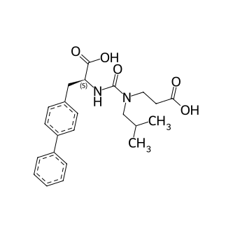 CC(C)CN(CCC(=O)O)C(=O)N[C@@H](Cc1ccc(-c2ccccc2)cc1)C(=O)O